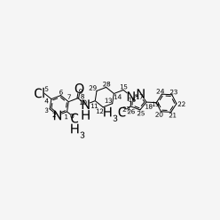 Cc1ncc(Cl)cc1C(=O)NC1CCC(Cn2nc(-c3ccccc3)cc2C)CC1